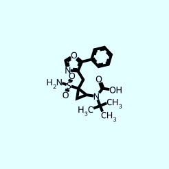 CC(C)(C)N(C(=O)O)C1CC1(Cc1ncoc1-c1ccccc1)S(N)(=O)=O